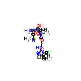 Cc1ncsc1-c1ccc([C@H](C)NC(=O)[C@@H]2C[C@@H](O)CN2C(=O)[C@@H](NC(=O)c2ccc(OCCCCNC(=O)CC3N=C(c4ccc(Cl)cc4)c4c(sc(C)c4C)-n4c(C)nnc43)cn2)C(C)(C)C)cc1